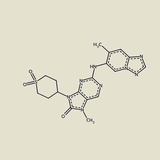 Cc1cc2ncnn2cc1Nc1ncc2c(n1)n(C1CCS(=O)(=O)CC1)c(=O)n2C